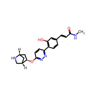 CNC(=O)/C=C/c1ccc(-c2ccc(O[C@@H]3C[C@@H]4C[C@H]3CN4)nn2)c(O)c1